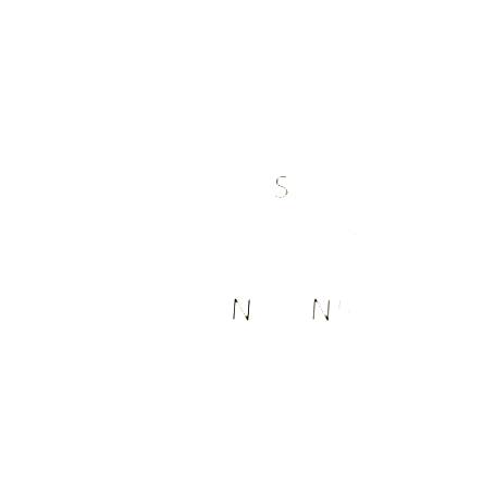 CC1=N[N+]=[C]S1